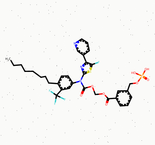 CCCCCCCCc1ccc(N(C(=O)OCOC(=O)c2cccc(COP(=O)(O)O)c2)c2nc(-c3cccnc3)c(F)s2)cc1C(F)(F)F